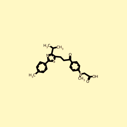 Cc1ccc(-c2nc(C(C)C)c(CCC(=O)c3ccc(N(C)CC(=O)O)cc3)s2)cc1